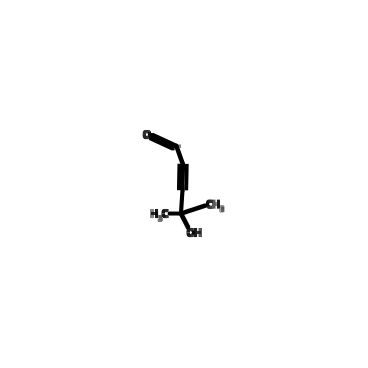 CC(C)(O)C#C[C]=O